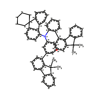 CC1(C)c2ccccc2-c2c(-c3ccccc3N(c3cccc(-c4cccc5c4C(C)(C)c4ccccc4-5)c3)c3cccc4c3-c3ccccc3C43CCCCC3)cccc21